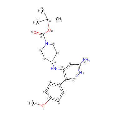 COc1ccc(-c2cnc(N)cc2NC2CCN(C(=O)OC(C)(C)C)CC2)cc1